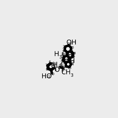 CC(COc1ncccc1CO)[C@H]1CC[C@H]2[C@@H]3CC=C4C[C@@H](O)CC[C@]4(C)[C@H]3CC[C@]12C